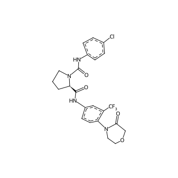 O=C(Nc1ccc(N2CCOCC2=O)c(C(F)(F)F)c1)[C@H]1CCCN1C(=O)Nc1ccc(Cl)cc1